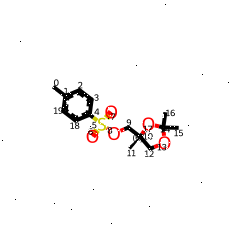 Cc1ccc(S(=O)(=O)OC[C@@]2(C)COC(C)(C)O2)cc1